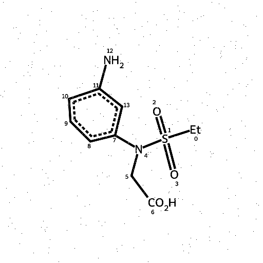 CCS(=O)(=O)N(CC(=O)O)c1cccc(N)c1